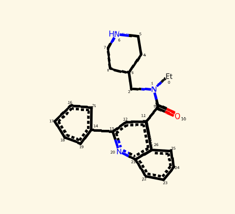 CCN(CC1CCNCC1)C(=O)c1cc(-c2ccccc2)nc2ccccc12